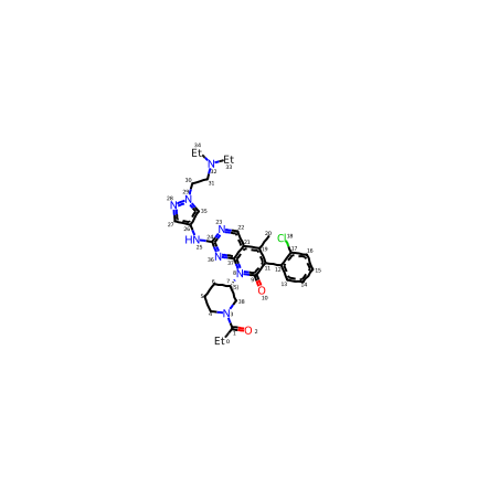 CCC(=O)N1CCC[C@H](n2c(=O)c(-c3ccccc3Cl)c(C)c3cnc(Nc4cnn(CCN(CC)CC)c4)nc32)C1